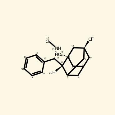 O[C@@]12CC3CC(C[C@@](Cl)(C3)C1)[C@@H]2[C@@H](NCl)c1ccccc1